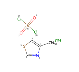 Cc1cscn1.Cl.O=S(=O)(Cl)Cl